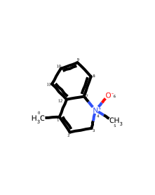 CC1=CC[N+](C)([O-])c2ccccc21